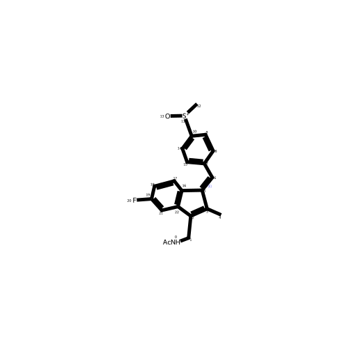 CC(=O)NCC1=C(C)/C(=C/c2ccc([S+](C)[O-])cc2)c2ccc(F)cc21